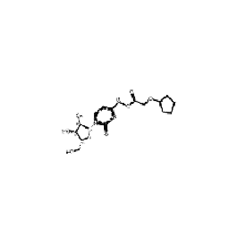 O=C(COC1CCCC1)ONc1ccn([C@@H]2O[C@H](CO)[C@@H](O)[C@H]2O)c(=O)n1